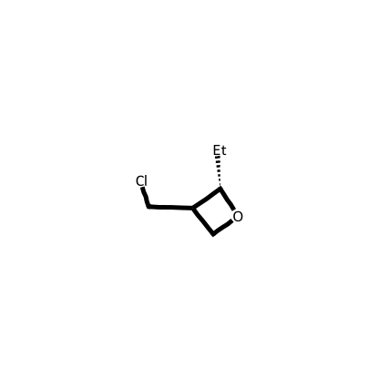 CC[C@@H]1OCC1CCl